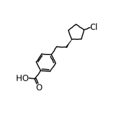 O=C(O)c1ccc(CC[C@H]2CCC(Cl)C2)cc1